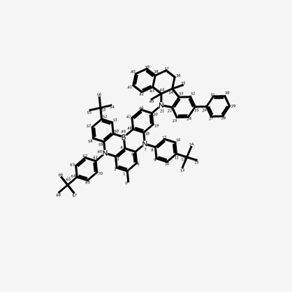 Cc1cc2c3c(c1)N(c1ccc(C(C)(C)C)cc1)c1cc(N4c5ccc(-c6ccccc6)cc5C5(C)CCc6ccccc6C45C)ccc1B3c1cc(C(C)(C)C)ccc1N2c1ccc(C(C)(C)C)cc1